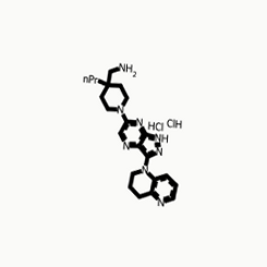 CCCC1(CN)CCN(c2cnc3c(N4CCCc5ncccc54)n[nH]c3n2)CC1.Cl.Cl